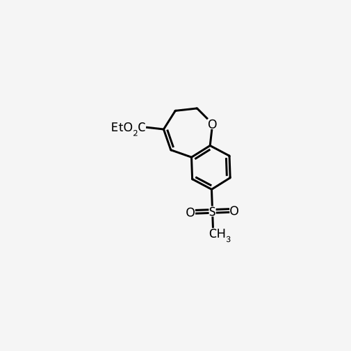 CCOC(=O)C1=Cc2cc(S(C)(=O)=O)ccc2OCC1